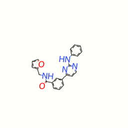 O=C(NCc1ccco1)c1cccc(-c2ccnc(Nc3ccccc3)n2)c1